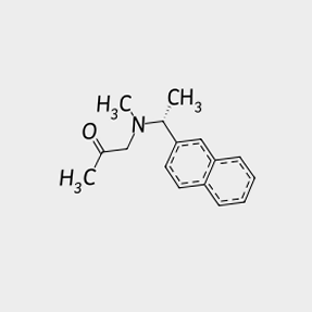 CC(=O)CN(C)[C@H](C)c1ccc2ccccc2c1